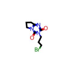 O=c1nc2n(c(=O)n1CCCBr)CCC2